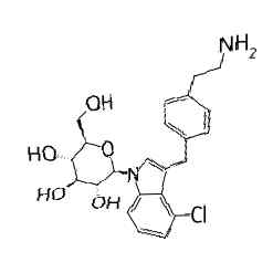 NCCc1ccc(Cc2cn([C@@H]3O[C@H](CO)[C@@H](O)[C@H](O)[C@H]3O)c3cccc(Cl)c23)cc1